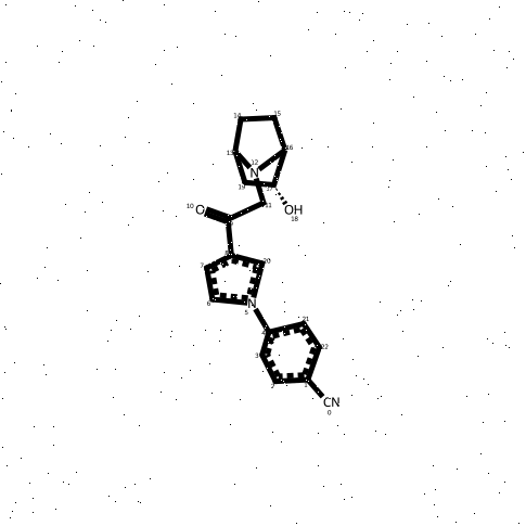 N#Cc1ccc(-n2ccc(C(=O)CN3C4CCC3[C@H](O)C4)c2)cc1